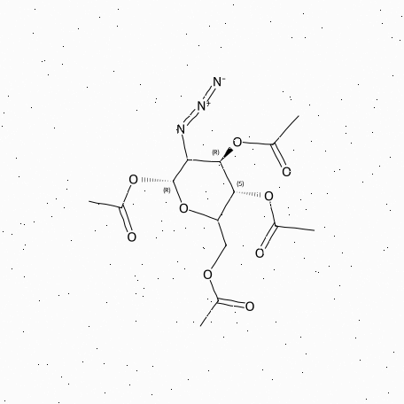 CC(=O)OCC1O[C@H](OC(C)=O)C(N=[N+]=[N-])[C@@H](OC(C)=O)[C@@H]1OC(C)=O